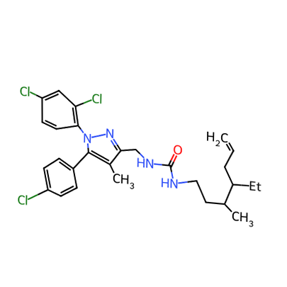 C=CCC(CC)C(C)CCNC(=O)NCc1nn(-c2ccc(Cl)cc2Cl)c(-c2ccc(Cl)cc2)c1C